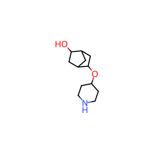 OC1CC2CC1CC2OC1CCNCC1